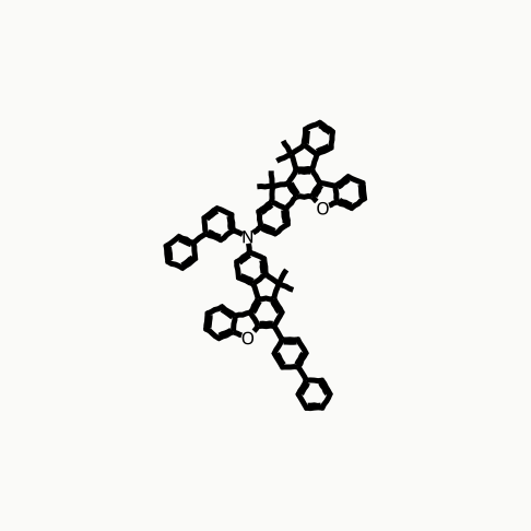 CC1(C)c2cc(N(c3cccc(-c4ccccc4)c3)c3ccc4c(c3)C(C)(C)c3c5c(c6c(oc7ccccc76)c3-4)-c3ccccc3C5(C)C)ccc2-c2c1cc(-c1ccc(-c3ccccc3)cc1)c1oc3ccccc3c21